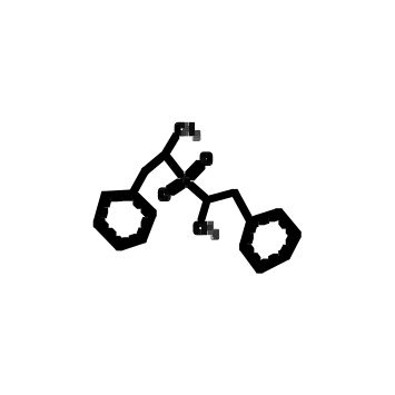 CC(Cc1ccccc1)S(=O)(=O)C(C)Cc1ccccc1